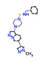 Cn1cc(-c2ccc3c(N4CCN(SNCc5ccccc5)CC4)cnn3c2)cn1